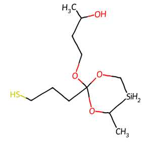 CC(O)CCOC1(CCCS)OC[SiH2]C(C)O1